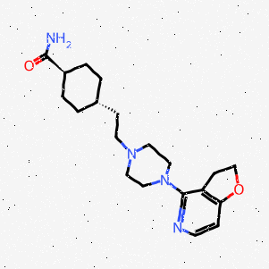 NC(=O)[C@H]1CC[C@H](CCN2CCN(c3nccc4c3CCO4)CC2)CC1